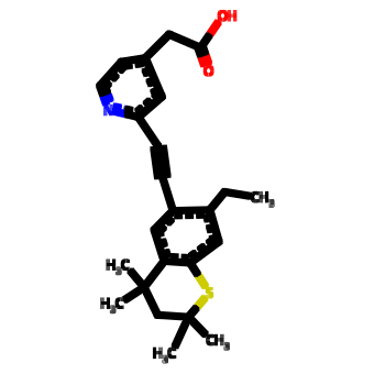 CCc1cc2c(cc1C#Cc1cc(CC(=O)O)ccn1)C(C)(C)CC(C)(C)S2